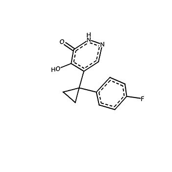 O=c1[nH]ncc(C2(c3ccc(F)cc3)CC2)c1O